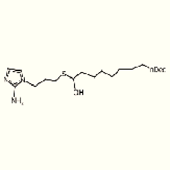 CCCCCCCCCCCCCCCCCC(O)SCCCn1ccnc1N